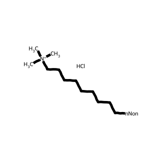 CCCCCCCCCCCCCCCCCC[N+](C)(C)C.Cl